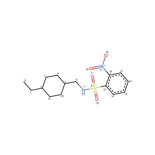 CCC1CCC(CNS(=O)(=O)c2ccccc2[N+](=O)[O-])CC1